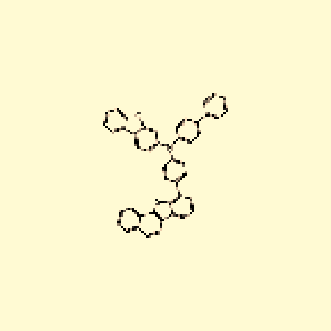 c1ccc(-c2ccc(N(c3ccc(-c4cccc5c4sc4c6ccccc6ccc54)cc3)c3ccc4c(c3)oc3ccccc34)cc2)cc1